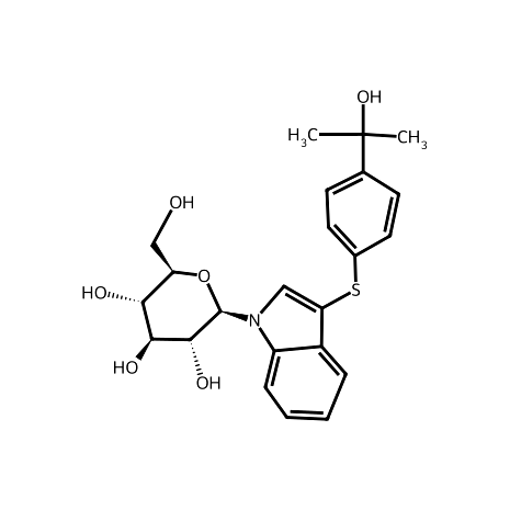 CC(C)(O)c1ccc(Sc2cn([C@@H]3O[C@H](CO)[C@@H](O)[C@H](O)[C@H]3O)c3ccccc23)cc1